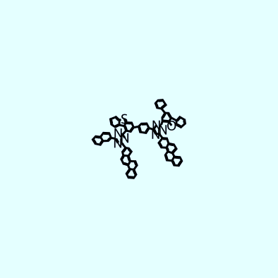 c1ccc(-c2cc(-c3nc(-c4ccc(-c5cc(-c6nc(-c7ccc8ccccc8c7)nc(-c7ccc8c(ccc9c%10ccccc%10ccc89)c7)n6)c6c(c5)sc5ccccc56)cc4)nc(-c4ccc5c(ccc6c7ccccc7ccc56)c4)n3)c3oc4ccccc4c3c2)cc1